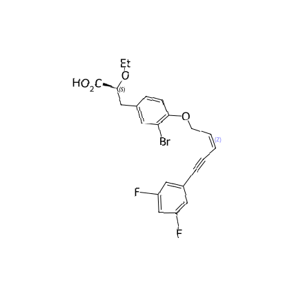 CCO[C@@H](Cc1ccc(OC/C=C\C#Cc2cc(F)cc(F)c2)c(Br)c1)C(=O)O